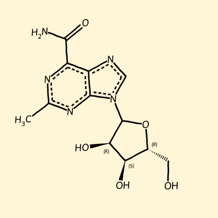 Cc1nc(C(N)=O)c2ncn(C3O[C@H](CO)[C@@H](O)[C@H]3O)c2n1